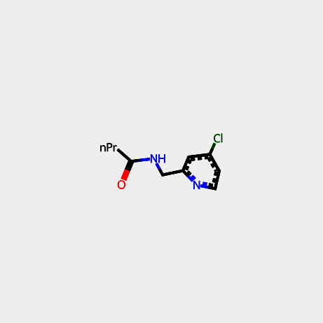 CCCC(=O)NCc1cc(Cl)ccn1